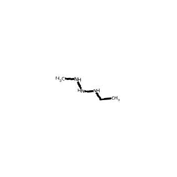 CCNNNC